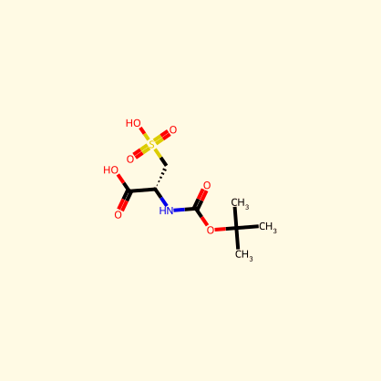 CC(C)(C)OC(=O)N[C@@H](CS(=O)(=O)O)C(=O)O